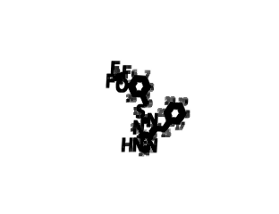 FC(F)(F)Oc1cccc(CSc2nc(Cc3ccccc3)c3nc[nH]c3n2)c1